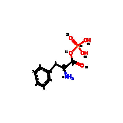 N[C@@H](Cc1ccccc1)C(=O)OP(=O)(O)O